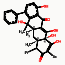 CC(=O)C1=C(O)[C@]2(O)C(O)=C3C(=O)c4c(O)ccc(-c5ccccc5)c4C(C)(O)[C@]3(C)C[C@]2(C)C(C(C)C)C1=O